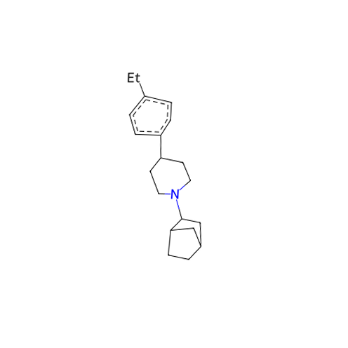 CCc1ccc(C2CCN(C3CC4CCC3C4)CC2)cc1